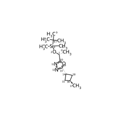 C[C@@H](O[Si](C)(C)C(C)(C)C)c1nnc([C@H]2C[C@H](C)C2)o1